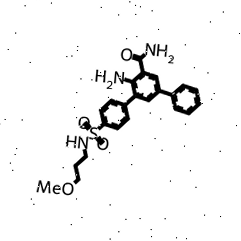 COCCCNS(=O)(=O)c1ccc(-c2cc(-c3ccccc3)cc(C(N)=O)c2N)cc1